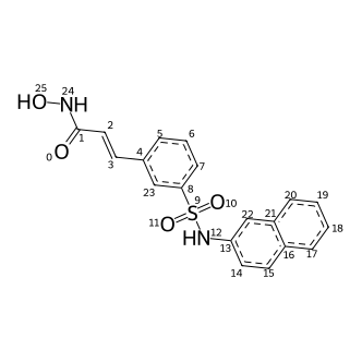 O=C(/C=C/c1cccc(S(=O)(=O)Nc2ccc3ccccc3c2)c1)NO